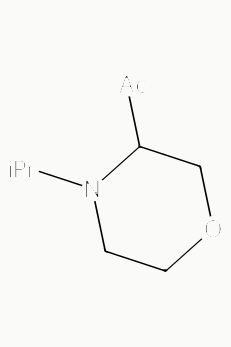 CC(=O)C1COCCN1C(C)C